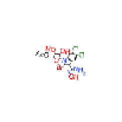 CC(=O)OC[C@H]1O[C@@H](n2c(Br)c(/C(N)=N/O)c3cc(Cl)c(Cl)cc32)C(O)C1O